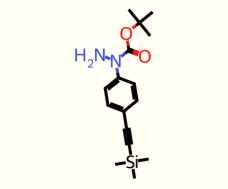 CC(C)(C)OC(=O)N(N)c1ccc(C#C[Si](C)(C)C)cc1